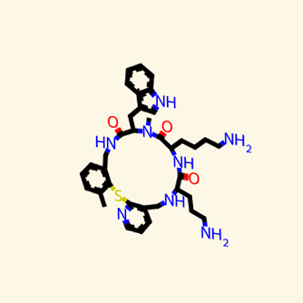 Cc1cccc2c1Sc1ncccc1CNC(CCCN)C(=O)NC(CCCCN)C(=O)N(C)C(Cc1c[nH]c3ccccc13)C(=O)NC2